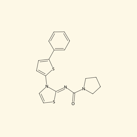 O=C(N=c1sccn1-c1ccc(-c2ccccc2)s1)N1CCCC1